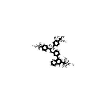 CC(C)(O)c1ccc(S(=O)(=O)C(Cc2cccc(-c3cc(C(C)(C)S(C)(=O)=O)cc4cccnc34)c2)c2ccc(S(C)(=O)=O)cc2)cc1